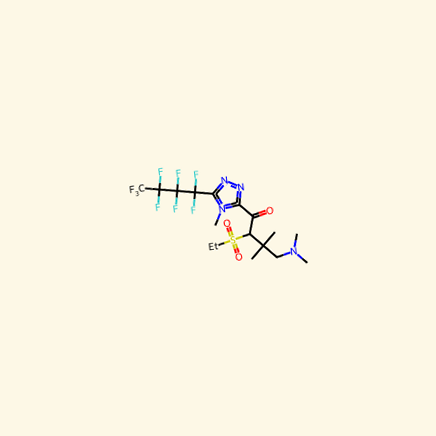 CCS(=O)(=O)C(C(=O)c1nnc(C(F)(F)C(F)(F)C(F)(F)C(F)(F)F)n1C)C(C)(C)CN(C)C